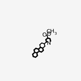 COC(=O)c1ccnc(C2CCc3c(ccc4c3ccc3ccccc34)C2)c1